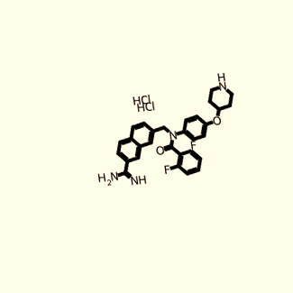 Cl.Cl.N=C(N)c1ccc2ccc(CN(C(=O)c3c(F)cccc3F)c3ccc(OC4CCNCC4)cc3)cc2c1